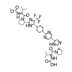 COC(=O)N[C@H](C(=O)N1CCCC1c1nc(C(F)(F)F)c(-c2ccc(-c3ncc(-c4cnc([C@@H]5CCCN5C(=O)[C@@H](NC(=O)O)C(C)C)[nH]4)cn3)cc2)[nH]1)C(C)C